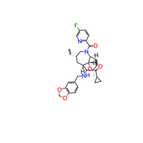 C=C[C@H]1C[C@H]2C(NCc3ccc4c(c3)OCO4)[C@@H](C)C#C[C@@H]([C@@H]2OC(=O)C2CC2)N(C(=O)c2ccc(F)cn2)C1